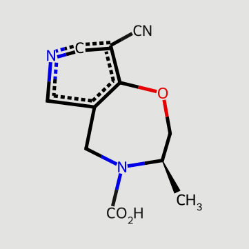 C[C@@H]1COc2c(C#N)cncc2CN1C(=O)O